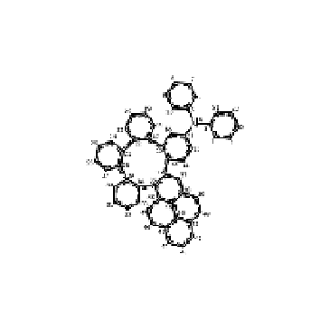 c1ccc(N(c2ccccc2)c2ccc3c(c2)c2ccccc2c2ccccc2c2ccccc2c2c3cc3ccc4cccc5ccc2c3c45)cc1